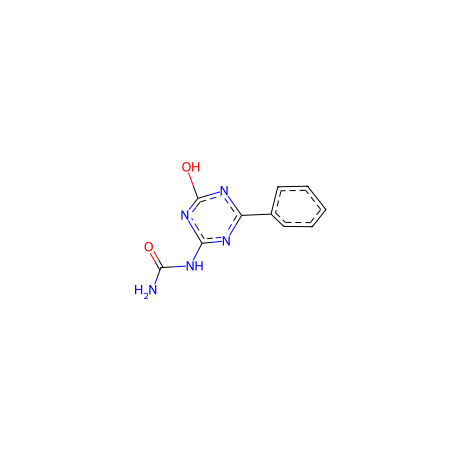 NC(=O)Nc1nc(O)nc(-c2ccccc2)n1